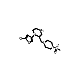 CS(=O)(=O)N1CCN(CC2CNCCN2c2csc(Cl)c2)CC1